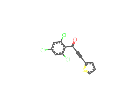 O=C(C#Cc1cccs1)c1c(Cl)cc(Cl)cc1Cl